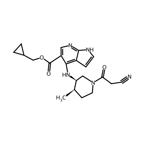 C[C@@H]1CCN(C(=O)CC#N)C[C@@H]1Nc1c(C(=O)OCC2CC2)cnc2[nH]ccc12